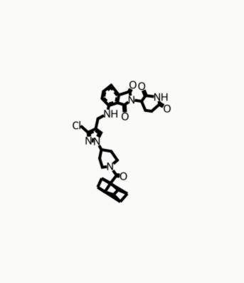 O=C1CCC(N2C(=O)c3cccc(NCc4cn(C5CCN(C(=O)C67C8C9C%10C8C6C%10C97)CC5)nc4Cl)c3C2=O)C(=O)N1